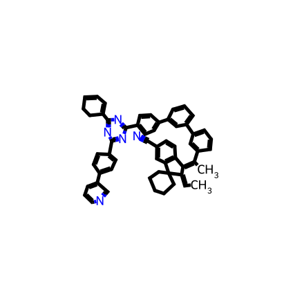 C/C=C1\C(=C(/C)c2cccc(-c3cccc(-c4ccc(-c5nc(C6=CC=CCC6)nc(-c6ccc(-c7cccnc7)cc6)n5)cc4)c3)c2)c2ccc(C#N)cc2C12CCCCC2